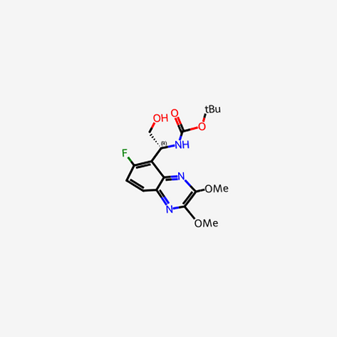 COc1nc2ccc(F)c([C@H](CO)NC(=O)OC(C)(C)C)c2nc1OC